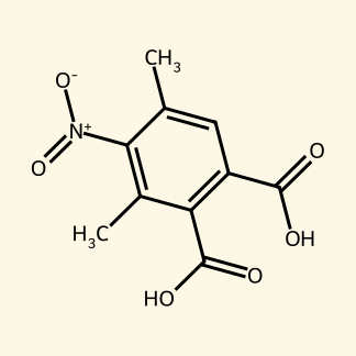 Cc1cc(C(=O)O)c(C(=O)O)c(C)c1[N+](=O)[O-]